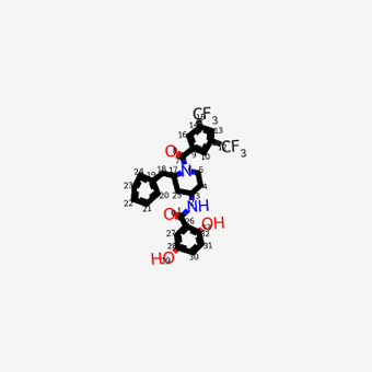 O=C(NC1CCN(C(=O)c2cc(C(F)(F)F)cc(C(F)(F)F)c2)C(Cc2ccccc2)C1)c1cc(O)ccc1O